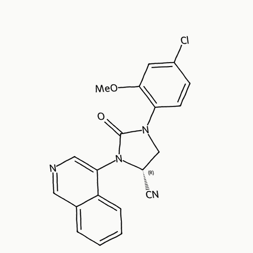 COc1cc(Cl)ccc1N1C[C@H](C#N)N(c2cncc3ccccc23)C1=O